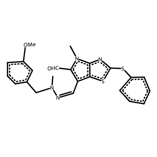 COc1cccc(CN(C)/N=C\c2c(C=O)n(C)c3nc(Sc4ccccc4)sc23)c1